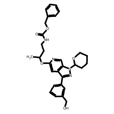 CC(CCNC(=O)OCc1ccccc1)Oc1cc2c(-c3cccc(CO)c3)nn(C3CCCCO3)c2cn1